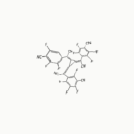 N#CC(=C1C(=C(\C#N)c2cc(F)c(C#N)c(F)c2F)/C1=C(\C#N)c1c(F)c(F)c(F)c(C#N)c1F)c1c(F)c(F)c(C#N)c(F)c1F